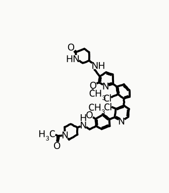 COc1cc(-c2nccc(-c3cccc(-c4ccc(CNC5CCC(=O)NC5)c(OC)n4)c3Cl)c2Cl)ccc1CNC1CCN(C(C)=O)CC1